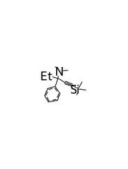 CCC(C#C[Si](C)(C)C)(c1ccccc1)N(C)C